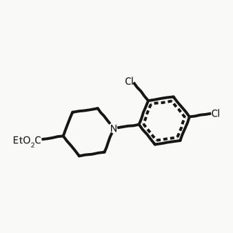 CCOC(=O)C1CCN(c2ccc(Cl)cc2Cl)CC1